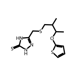 CC(CSCc1n[nH]c(=S)[nH]1)C(C)Oc1cccs1